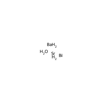 O.[BaH2].[Bi].[SrH2]